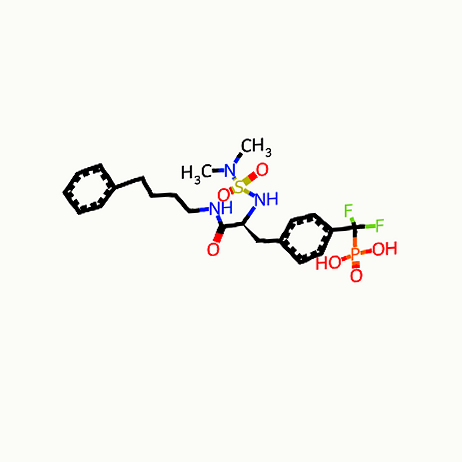 CN(C)S(=O)(=O)N[C@@H](Cc1ccc(C(F)(F)P(=O)(O)O)cc1)C(=O)NCCCCc1ccccc1